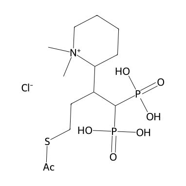 CC(=O)SCCC(C1CCCC[N+]1(C)C)C(P(=O)(O)O)P(=O)(O)O.[Cl-]